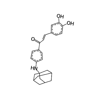 O=C(/C=C/c1ccc(O)c(O)c1)c1ccc(NC23CC4CC(CC(C4)C2)C3)cc1